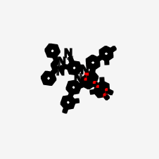 Cc1ccc(-c2ccc3c(c2)c2cc(-c4ccc(C)cc4C)ccc2n3-c2cc(C#N)c(-c3nc(-c4ccccc4)cc(-c4ccccc4)n3)cc2-n2c3ccc(-c4ccc(C)cc4C)cc3c3cc(-c4ccc(C)cc4C)ccc32)c(C)c1